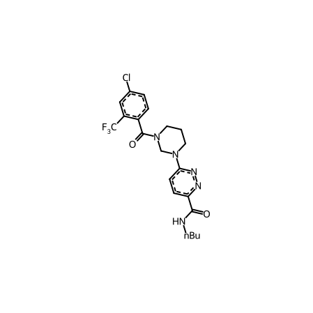 CCCCNC(=O)c1ccc(N2CCCN(C(=O)c3ccc(Cl)cc3C(F)(F)F)C2)nn1